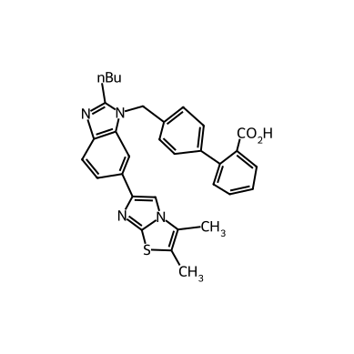 CCCCc1nc2ccc(-c3cn4c(C)c(C)sc4n3)cc2n1Cc1ccc(-c2ccccc2C(=O)O)cc1